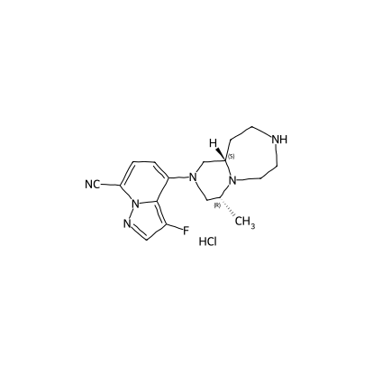 C[C@@H]1CN(c2ccc(C#N)n3ncc(F)c23)C[C@@H]2CCNCCN21.Cl